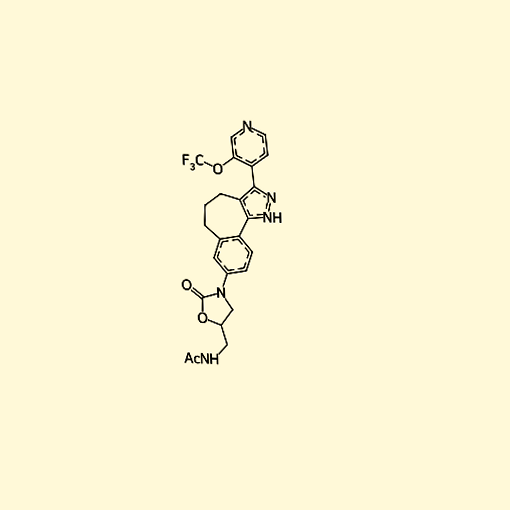 CC(=O)NCC1CN(c2ccc3c(c2)CCCc2c(-c4ccncc4OC(F)(F)F)n[nH]c2-3)C(=O)O1